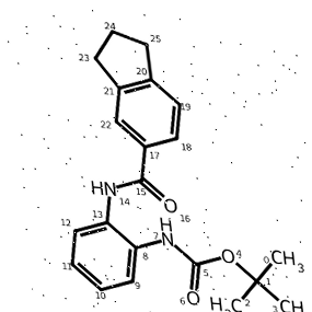 CC(C)(C)OC(=O)Nc1ccccc1NC(=O)c1ccc2c(c1)CCC2